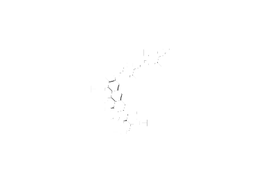 CO[C@@H]1C(=O)c2c(cc3cc(OC(C)OC(C)[C@@H](O)CO[C@@H](C)OC(C)[C@@H](O)CO)c(C)c(O)c3c2O)CC1[C@H](OC)C(=O)[C@@H](O)[C@@H](C)O